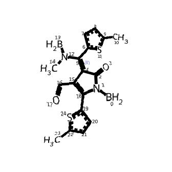 BN1C(=O)/C(=C(\c2ccc(C)s2)N(B)C)C(C=O)=C1c1ccc(C)s1